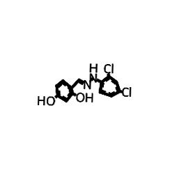 Oc1ccc(C=NNc2ccc(Cl)cc2Cl)c(O)c1